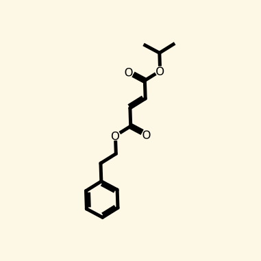 CC(C)OC(=O)/C=C/C(=O)OCCc1ccccc1